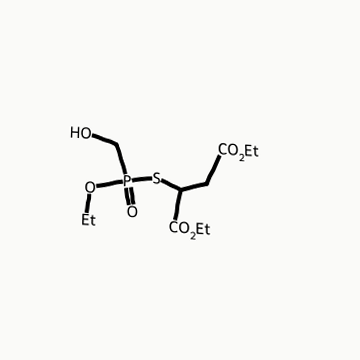 CCOC(=O)CC(SP(=O)(CO)OCC)C(=O)OCC